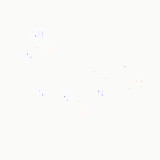 NC(=O)NC1CCN(c2ccccc2NC(=O)c2csc(-c3ccoc3)n2)CC1